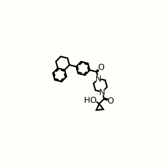 O=C(c1ccc(C2CCCc3ccccc32)cc1)N1CCN(C(=O)C2(O)CC2)CC1